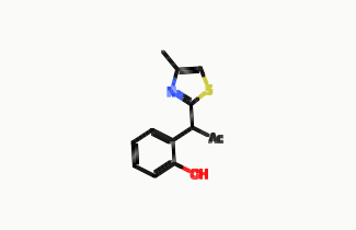 CC(=O)C(c1nc(C)cs1)c1ccccc1O